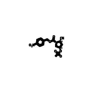 CS(=O)(=O)O[C@@H]1C[C@@H](C#N)N(C(=O)OCc2ccc([N+](=O)[O-])cc2)C1